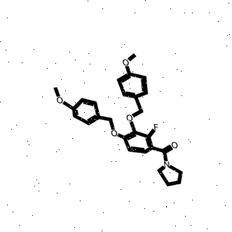 COc1ccc(COc2ccc(C(=O)N3CCCC3)c(F)c2OCc2ccc(OC)cc2)cc1